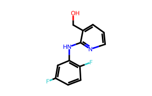 OCc1cccnc1Nc1cc(F)ccc1F